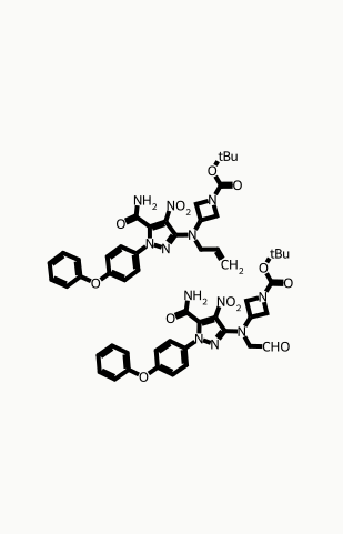 C=CCN(c1nn(-c2ccc(Oc3ccccc3)cc2)c(C(N)=O)c1[N+](=O)[O-])C1CN(C(=O)OC(C)(C)C)C1.CC(C)(C)OC(=O)N1CC(N(CC=O)c2nn(-c3ccc(Oc4ccccc4)cc3)c(C(N)=O)c2[N+](=O)[O-])C1